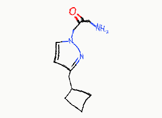 NC(=O)n1ccc(C2CCC2)n1